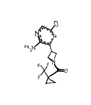 Nc1ncc(Cl)nc1C1CN(C(=O)C2(C(F)(F)F)CC2)C1